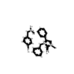 Cn1cc(-c2ccccc2)n(Cc2ccccc2)[c]1=[Pt].Fc1ccc(CN(I)I)cc1